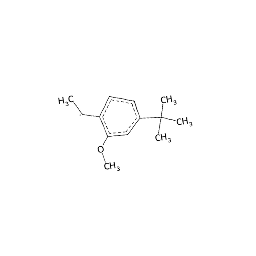 C[CH]c1ccc(C(C)(C)C)cc1OC